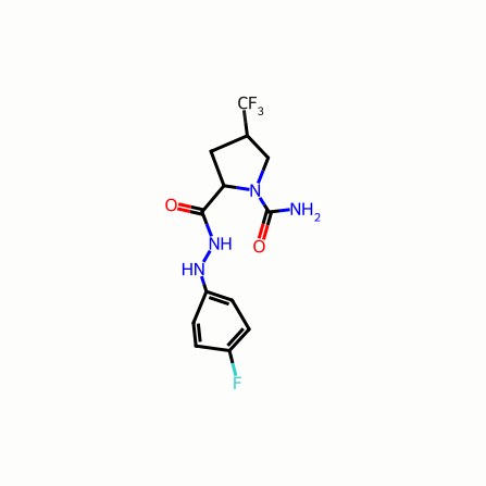 NC(=O)N1CC(C(F)(F)F)CC1C(=O)NNc1ccc(F)cc1